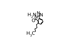 CCCCCc1cccc2c1C(=O)N(N)C21N=N1